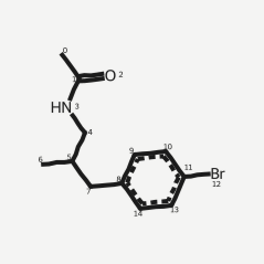 CC(=O)NCC(C)Cc1ccc(Br)cc1